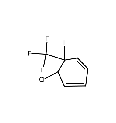 FC(F)(F)C1(I)C=CC=CC1Cl